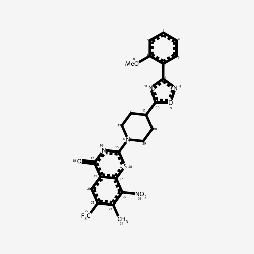 COc1ccccc1-c1noc(C2CCN(c3nc(=O)c4cc(C(F)(F)F)c(C)c([N+](=O)[O-])c4s3)CC2)n1